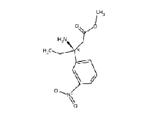 CC[C@](N)(CC(=O)OC)c1cccc([N+](=O)[O-])c1